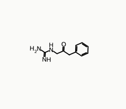 N=C(N)NCC(=O)Cc1ccccc1